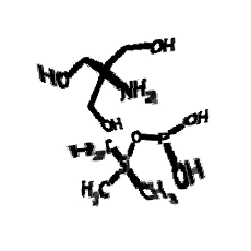 C[Si](C)(C)OP(O)O.NC(CO)(CO)CO